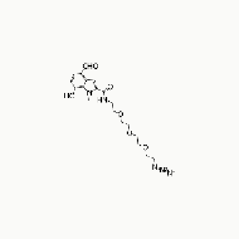 Cn1c(C(=O)NCCOCCOCCOCCN=[N+]=[N-])cc2c(C=O)ccc(O)c21